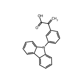 C=C(C(=O)O)c1cccc(-n2c3ccccc3c3ccccc32)c1